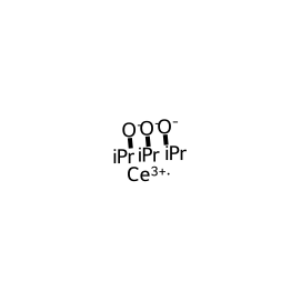 CC(C)[O-].CC(C)[O-].CC(C)[O-].[Ce+3]